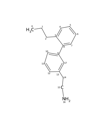 CCCc1ccccc1-c1cccc(CCN)c1